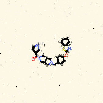 Cn1ccc(C(=O)N2CC3CN(Cc4ccc(Oc5nc6ccccc6s5)cc4)CC3C2)c1